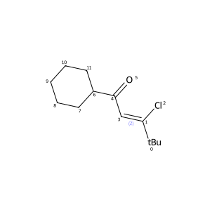 CC(C)(C)/C(Cl)=C/C(=O)C1CCCCC1